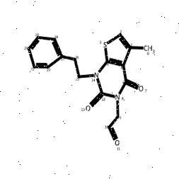 Cc1csc2c1c(=O)n(CC=O)c(=O)n2CCc1ccccc1